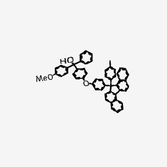 COc1ccc(C(O)(c2ccccc2)c2ccc(Oc3ccc(C4(c5ccc(C)cc5)c5ccc6ccccc6c5-c5ccc6ccccc6c54)cc3)cc2)cc1